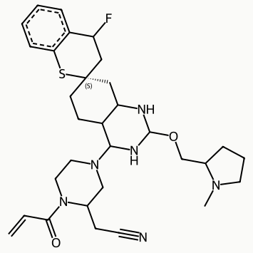 C=CC(=O)N1CCN(C2NC(OCC3CCCN3C)NC3C[C@@]4(CCC32)CC(F)c2ccccc2S4)CC1CC#N